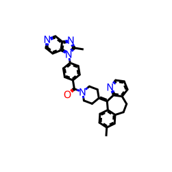 Cc1ccc2c(c1)CCc1cccnc1C2=C1CCN(C(=O)c2ccc(-n3c(C)nc4cnccc43)cc2)CC1